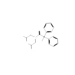 BC1CN(C(=O)C(Cl)(c2ccccc2)c2ccccc2)CC(C(C)(C)C)O1